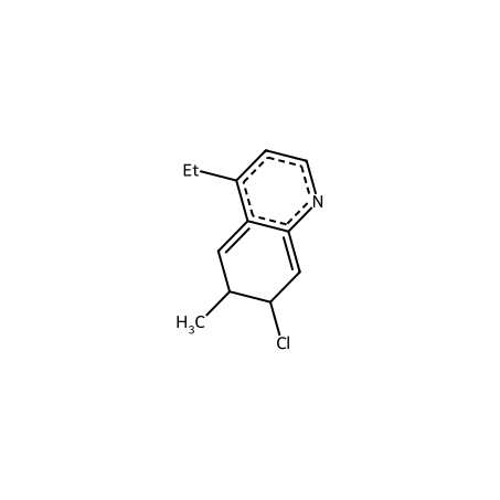 CCc1ccnc2c1=CC(C)C(Cl)C=2